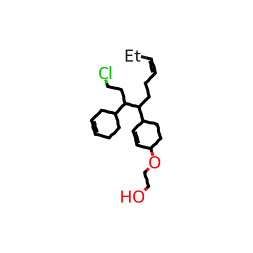 CC/C=C\CCC(C1C=CC(OCCO)CC1)C(CCCl)C1CC=CCC1